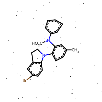 Cc1ccc(N2CCc3cc(Br)ccc32)c(N(C(=O)O)c2ccccc2)c1